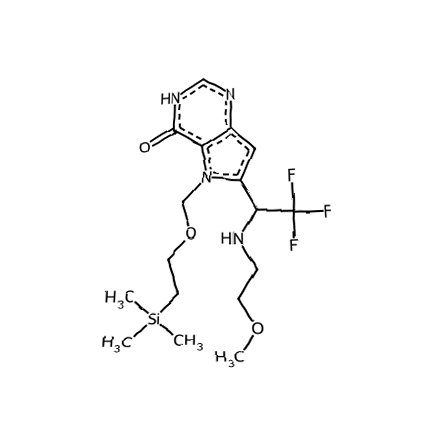 COCCNC(c1cc2nc[nH]c(=O)c2n1COCC[Si](C)(C)C)C(F)(F)F